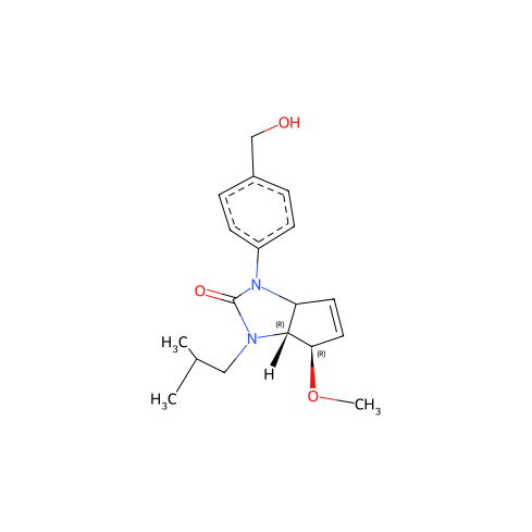 CO[C@@H]1C=CC2[C@H]1N(CC(C)C)C(=O)N2c1ccc(CO)cc1